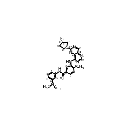 Cc1ccc(C(=O)Nc2cccc(N(C)C)c2)cc1Nc1ncnc2cnc(N3CC[C@@H](F)C3)nc12